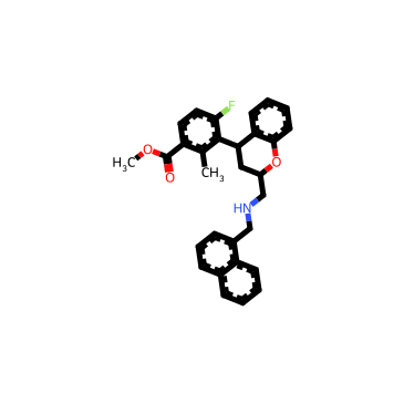 COC(=O)c1ccc(F)c(C2CC(CNCc3cccc4ccccc34)Oc3ccccc32)c1C